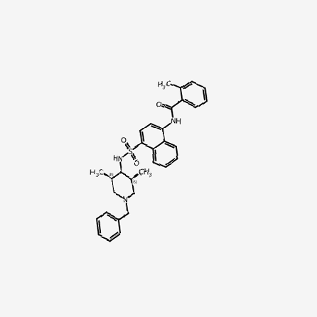 Cc1ccccc1C(=O)Nc1ccc(S(=O)(=O)NC2[C@H](C)CN(Cc3ccccc3)C[C@@H]2C)c2ccccc12